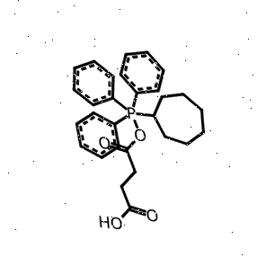 O=C(O)CCC(=O)OP(c1ccccc1)(c1ccccc1)(c1ccccc1)C1CCCCCC1